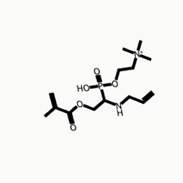 C=CCNC(COC(=O)C(=C)C)P(=O)(O)OCC[N+](C)(C)C